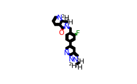 [2H]C1([2H])c2ncccc2C(=O)N1Cc1ccc(-c2cnc3nn(C([2H])([2H])[2H])cc3c2)cc1F